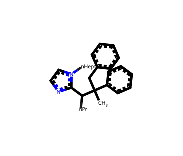 CCCCCCCn1ccnc1C(CCC)C(C)(Cc1ccccc1)c1ccccc1